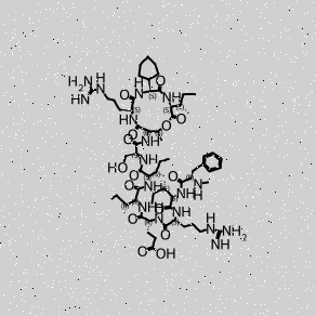 CC[C@@H](C)[C@@H](NC(=O)[C@@H](CCC(=O)O)NC(=O)[C@H](CCCNC(=N)N)NC(=O)[C@@H](NC(=O)[C@@H](Cc1ccccc1)NC)[C@@H](C)CC)C(=O)N[C@H](C(=O)N[C@@H](CO)C(=O)N[C@H]1C(=O)N[C@@H](CCCNC(=N)N)C(=O)N[C@@H](C2CCCCC2)C(=O)N[C@@H]([C@@H](C)CC)C(=O)O[C@H]1C)[C@@H](C)CC